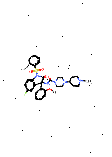 CCOc1ccccc1C1(NC(=O)N2CCN(C3CCN(C)CC3)CC2)C(=O)N(S(=O)(=O)c2ccccc2OC)c2ccc(F)cc21